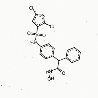 O=C(NO)C(c1ccccc1)c1ccc(NS(=O)(=O)c2cc(Cl)sc2Cl)cc1